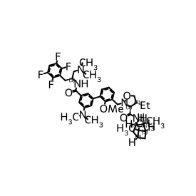 CC[C@H]1CON(Cc2cccc(-c3cc(C(=O)N[C@@H](Cc4c(F)c(F)cc(F)c4F)CN(C)C)cc(N(C)C)c3)c2OC)[C@@H]1C(=O)N[C@H]1C[C@H]2C[C@@H]([C@@H]1C)C2(C)C